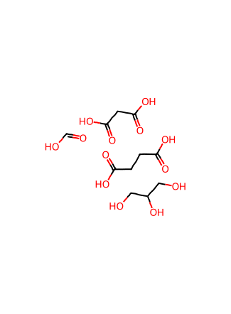 O=C(O)CC(=O)O.O=C(O)CCC(=O)O.O=CO.OCC(O)CO